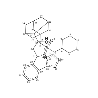 O=S(=O)(CC1CCCCC1)NC12CC3CC(C1)C(C(O)CC1c4ccccc4-c4cncn41)C(C3)C2